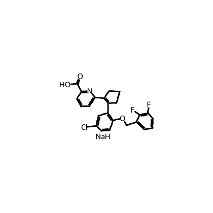 O=C(O)c1cccc(C2=C(c3cc(Cl)ccc3OCc3cccc(F)c3F)CCC2)n1.[NaH]